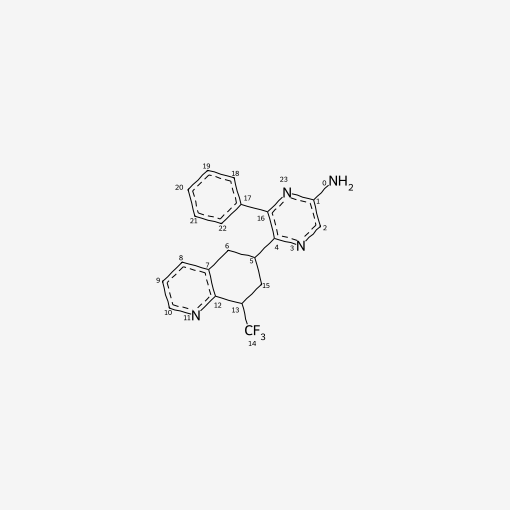 Nc1cnc(C2Cc3cccnc3C(C(F)(F)F)C2)c(-c2ccccc2)n1